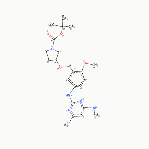 CNc1cc(C)nc(Nc2ccc(OC)c(COC3CCN(C(=O)OC(C)(C)C)C3)c2)n1